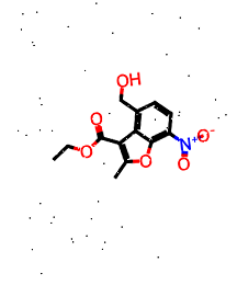 CCOC(=O)c1c(C)oc2c([N+](=O)[O-])ccc(CO)c12